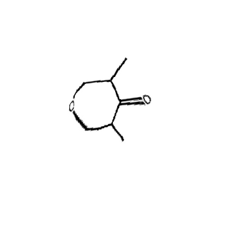 CC1COCC(C)C1=O